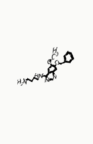 COc1cc2c(NCCCCN)ncnc2cc1OCc1ccccc1